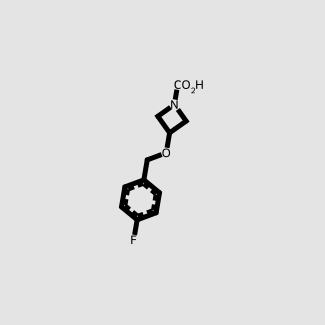 O=C(O)N1CC(OCc2ccc(F)cc2)C1